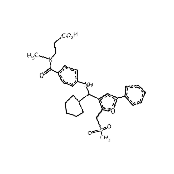 CN(CCC(=O)O)C(=O)c1ccc(NC(c2cc(-c3ccccc3)oc2CS(C)(=O)=O)C2CCCCC2)cc1